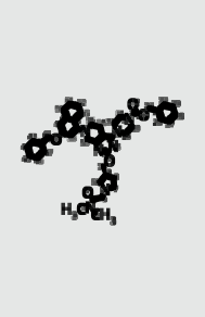 CN(C)C(=O)CN1CC[C@H](COc2nc3c(c(N4CCN(C(=O)OCc5ccccc5)CC4)n2)CCN(c2cc(OCc4ccccc4)cc4ccccc24)C3)C1